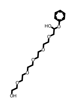 OCCOCCOCCOCCOCCOCC(O)Oc1ccccc1